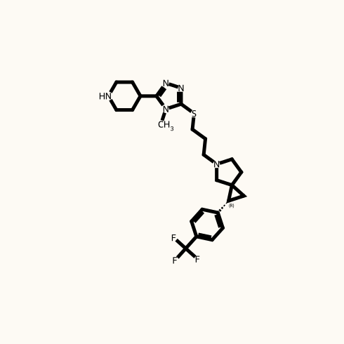 Cn1c(SCCCN2CCC3(C[C@@H]3c3ccc(C(F)(F)F)cc3)C2)nnc1C1CCNCC1